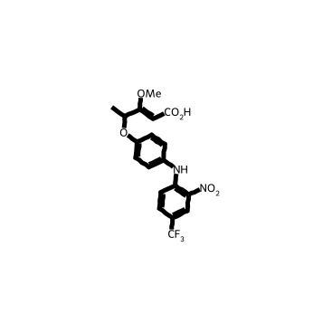 COC(=CC(=O)O)C(C)Oc1ccc(Nc2ccc(C(F)(F)F)cc2[N+](=O)[O-])cc1